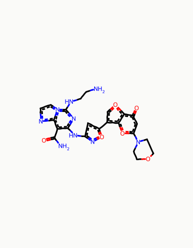 NCCNc1nc(Nc2cc(-c3coc4c(=O)cc(N5CCOCC5)oc34)on2)c(C(N)=O)c2nccn12